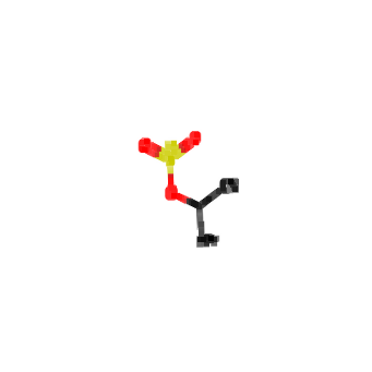 CCCC(C#N)O[SH](=O)=O